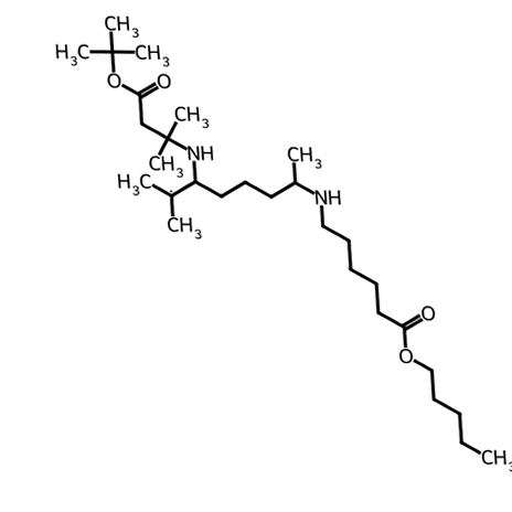 CCCCCOC(=O)CCCCCNC(C)CCCC(NC(C)(C)CC(=O)OC(C)(C)C)[C](C)C